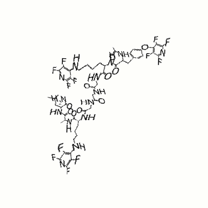 CC(=O)NC(Cc1ccc(Oc2c(F)c(F)nc(F)c2F)cc1)C(=O)NC(CCCCNc1c(F)c(F)nc(F)c1F)C(=O)NCC(=O)NCC(=O)NCC(=O)NC(CCCCNc1c(F)c(F)nc(F)c1F)C(=O)NC(C)C(=O)NC(CC(C)C)C(N)=O